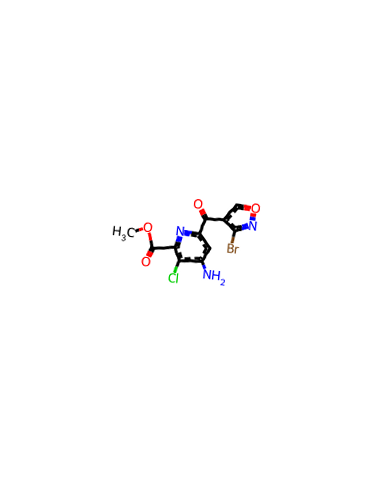 COC(=O)c1nc(C(=O)c2conc2Br)cc(N)c1Cl